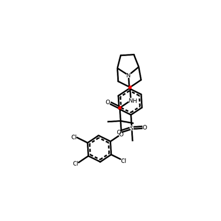 CC(C)(Oc1cc(Cl)c(Cl)cc1Cl)C(=O)NC1CC2CCC(C1)N2c1ccc(S(C)(=O)=O)cc1